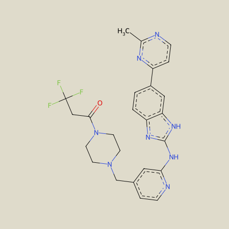 Cc1nccc(-c2ccc3nc(Nc4cc(CN5CCN(C(=O)CC(F)(F)F)CC5)ccn4)[nH]c3c2)n1